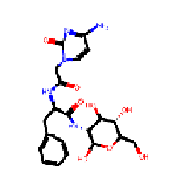 Nc1ccn(CC(=O)NC(Cc2ccccc2)C(=O)N[C@H]2C(O)OC(CO)[C@@H](O)C2O)c(=O)n1